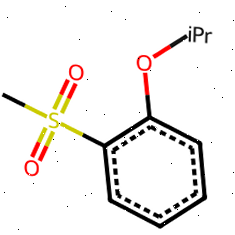 CC(C)Oc1ccccc1S(C)(=O)=O